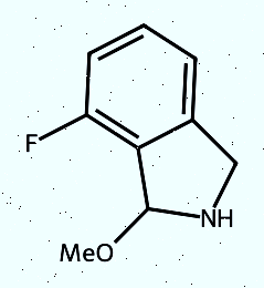 COC1NCc2cccc(F)c21